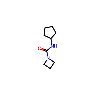 O=C(NC1CCCC1)N1CCC1